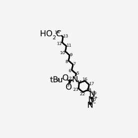 CC(C)(C)OC(=O)N(CCCCCCCCCC(=O)O)[C@H]1CC[C@@H](N=[N+]=[N-])CC1